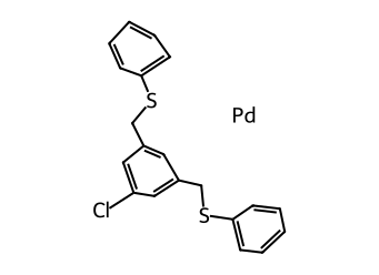 Clc1cc(CSc2ccccc2)cc(CSc2ccccc2)c1.[Pd]